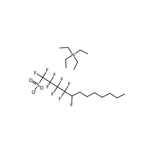 CCCCCCCC(F)C(F)(F)C(F)(F)C(F)(F)C(F)(F)S(=O)(=O)[O-].CC[N+](CC)(CC)CC